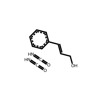 N=C=O.N=C=O.OCC=Cc1ccccc1